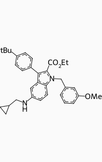 CCOC(=O)c1c(-c2ccc(C(C)(C)C)cc2)c2cc(NCC3CC3)ccc2n1Cc1cccc(OC)c1